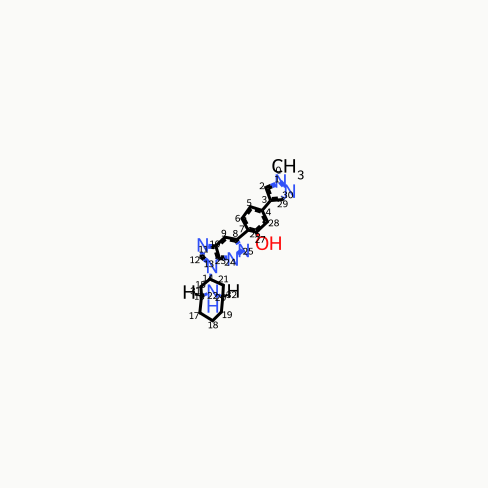 Cn1cc(-c2ccc(-c3cc4ncn([C@@H]5C[C@H]6CCC[C@@H](C5)N6)c4nn3)c(O)c2)cn1